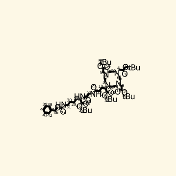 CC(C)(C)OC(=O)CN1CCN(CC(=O)OC(C)(C)C)CCN(C(CCC(=O)NCC(=O)N[C@@H](CCCCNC(=O)OCc2ccccc2)C(=O)OC(C)(C)C)C(=O)OC(C)(C)C)CCN(CC(=O)OC(C)(C)C)CC1